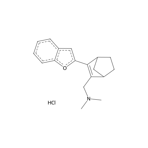 CN(C)CC1=C(c2cc3ccccc3o2)C2CCC1C2.Cl